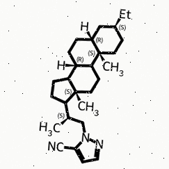 CC[C@H]1CC[C@]2(C)C3CC[C@@]4(C)C(CCC4[C@H](C)Cn4nccc4C#N)[C@@H]3CC[C@@H]2C1